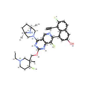 C#Cc1c(F)ccc2cc(O)cc(-c3ncc4c(N5C[C@H]6CC[C@@H](C5)N6)nc(OC[C@@]5(C)CN(CC)CC[C@@H]5F)nc4c3F)c12